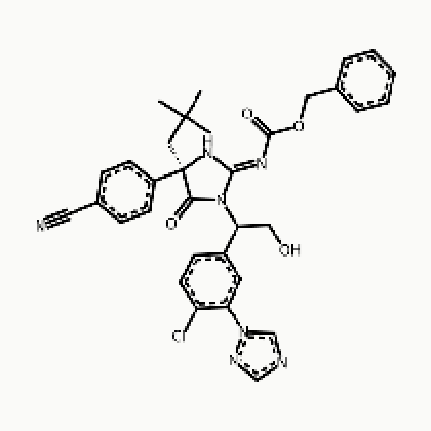 CC(C)(C)C[C@]1(c2ccc(C#N)cc2)NC(=NC(=O)OCc2ccccc2)N(C(CO)c2ccc(Cl)c(-n3cncn3)c2)C1=O